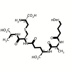 CCCCCCCCCCCCCC(=O)N[C@@H](C)C(=O)N[C@H](CCC(=O)N[C@H](CSC[C@H](N)C(=O)O)C(=O)N[C@H](C)C(=O)O)C(=O)O